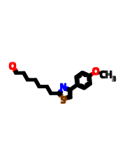 COc1ccc(-c2csc(CCCCCCC=O)n2)cc1